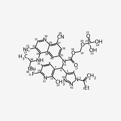 C=C(CC)n1cc(C(c2ccc(F)nc2C)N(C(=O)OCOP(=O)(O)O)c2cc(C#N)c3ncc(C#N)c(NC(C)C(C)(C)C)c3c2)nn1